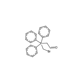 O=CCP(CBr)(c1ccccc1)(c1ccccc1)c1ccccc1